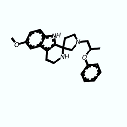 COc1ccc2[nH]c3c(c2c1)CCNC31CCN(CC(C)Oc2ccccc2)C1